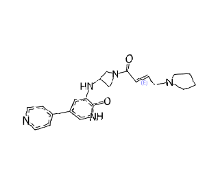 O=C(/C=C/CN1CCCC1)N1CC(Nc2cc(-c3ccncc3)c[nH]c2=O)C1